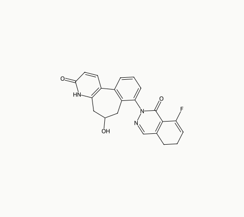 O=c1ccc2c([nH]1)CC(O)Cc1c-2cccc1-n1ncc2c(c1=O)C(F)=CCC2